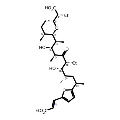 CCOC(=O)/C=C/c1ccc([C@H](C)C[C@H](C)[C@H](O)[C@@H](CC)C(=O)[C@@H](C)[C@@H](O)[C@H](C)[C@@H]2O[C@@H]([C@@H](CC)C(=O)O)CC[C@@H]2C)o1